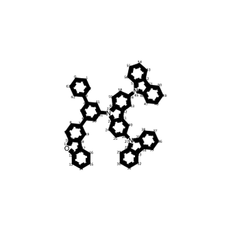 c1ccc(-c2cc(-c3ccc4oc5ccccc5c4c3)cc(-n3c4ccc(-n5c6ccccc6c6ccccc65)cc4c4cc(-n5c6ccccc6c6ccccc65)ccc43)c2)cc1